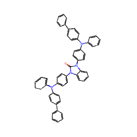 O=c1n(-c2ccc(N(C3=CC=CCC3)c3ccc(-c4ccccc4)cc3)cc2)c2ccccc2n1-c1ccc(N(c2ccccc2)c2ccc(-c3ccccc3)cc2)cc1